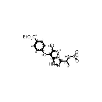 CCOC(=O)c1ccc(Oc2c(CC)nn3c(C(C)N[SH](=O)=O)n[nH]c23)cc1